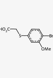 COc1cc(SCC(=O)O)ccc1Br